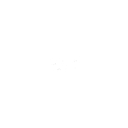 CCCCCCC(C)C.N=C=O